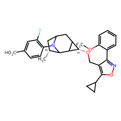 C[C@@H]1CC2CC3C(C1N2c1ccc(C(=O)O)cc1F)[C@H]3OCc1c(-c2ccccc2OC(F)(F)F)noc1C1CC1